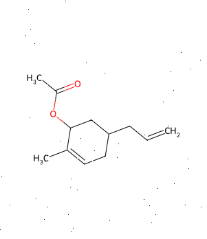 C=CCC1CC=C(C)C(OC(C)=O)C1